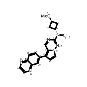 CO[C@H]1C[C@H](N(C)c2ncc3c(-c4ccc5nccnc5c4)ccn3n2)C1